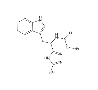 CCCc1nnc(C(Cc2c[nH]c3ccccc23)NC(=O)OC(C)(C)C)[nH]1